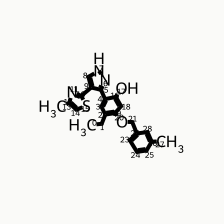 CCc1cc(-c2n[nH]cc2-c2nc(C)cs2)c(O)cc1OCc1cccc(C)c1